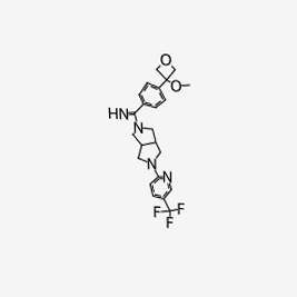 COC1(c2ccc(C(=N)N3CC4CN(c5ccc(C(F)(F)F)cn5)CC4C3)cc2)COC1